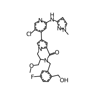 COCC1Cn2cc(-c3cc(Nc4ccn(C)n4)ncc3Cl)cc2C(=O)N1Cc1cc(F)ccc1CO